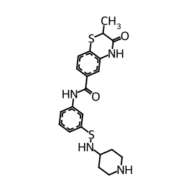 CC1Sc2ccc(C(=O)Nc3cccc(SNC4CCNCC4)c3)cc2NC1=O